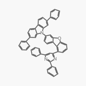 c1ccc(-c2ccc3c4ccc(-c5ccccc5)cc4n(-c4ccc5c(c4)oc4cccc(-c6cc(-c7ccccc7)nc(-c7ccccc7)n6)c45)c3c2)cc1